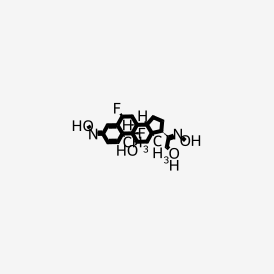 C[C@]12C[C@H](O)[C@@]3(F)[C@@H](C[C@H](F)C4=CC(=NO)C=C[C@@]43C)[C@@H]1CC[C@@H]2/C(CO)=N/O